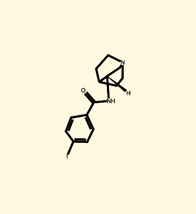 O=C(N[C@H]1CN2CCC1CC2)c1ccc(I)cc1